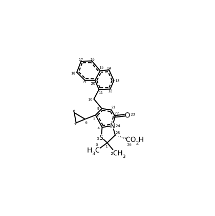 CC1(C)Sc2c(C3CC3)c(Cc3cccc4ccccc34)cc(=O)n2[C@@H]1C(=O)O